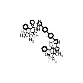 CC(C)(C)N(C(=O)O)[C@@H](C(=O)N1CCC[C@H]1c1ncc(-c2ccc(-c3ccc(-c4cnc([C@@H]5CCCN5C(=O)[C@@H](c5ccccc5)N(C(=O)O)C(C)(C)C)[nH]4)cc3)cc2)[nH]1)c1ccccc1